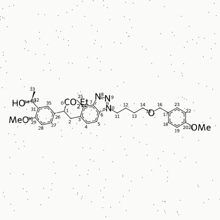 CCOC(=O)C(Cc1ccc2c(nnn2CCCCOCc2ccc(OC)cc2)c1C)c1ccc(OC)c([C@H](C)O)c1